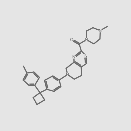 Cc1ccc(C2(c3ccc(N4CCc5cnc(C(=O)N6CCN(C)CC6)nc5C4)cc3)CCC2)cc1